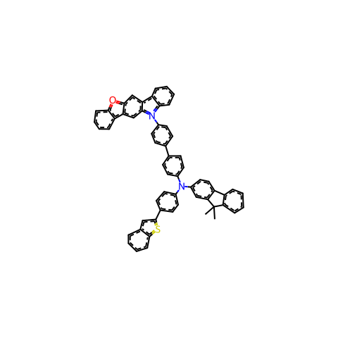 CC1(C)c2ccccc2-c2ccc(N(c3ccc(-c4ccc(-n5c6ccccc6c6cc7oc8ccccc8c7cc65)cc4)cc3)c3ccc(-c4cc5ccccc5s4)cc3)cc21